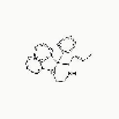 CC=CC1NCCN(c2ccccc2)C1(c1ccccc1)c1ccccc1